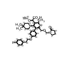 Cc1nc(COCN2CCCC2=O)c(-c2ccc(OCCc3ccc(F)cc3)cc2)c(N2CCC(C)(C)CC2)c1C(OC(C)(C)C)C(=O)O